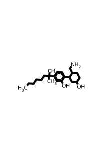 CCCCCCC(C)(C)c1ccc(C2CC(O)CCC2CN)c(O)c1